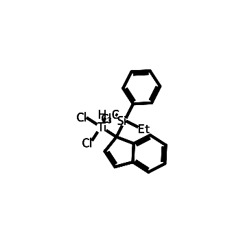 CC[Si](C)(c1ccccc1)[C]1([Ti]([Cl])([Cl])[Cl])C=Cc2ccccc21